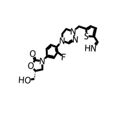 N=Cc1ccc(CN2CCN(c3ccc(N4C[C@H](CO)OC4=O)cc3F)C=N2)s1